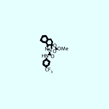 COC(=O)OC12CCc3ccccc3C1=NN(C(=O)Nc1ccc(C(F)(F)F)cc1)C2